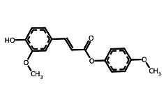 COc1ccc(OC(=O)C=Cc2ccc(O)c(OC)c2)cc1